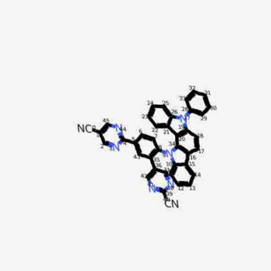 N#Cc1cnc(-c2ccc(-n3c4ccccc4c4ccc5c(c6ccccc6n5-c5ccccc5)c43)c(-c3cnc(C#N)nc3)c2)nc1